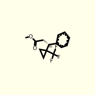 COC(=O)C[C@H](c1ccccc1)C1(C(F)(F)F)CC1